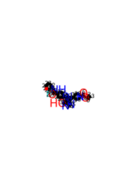 CC(C)(C)OC(=O)N1CCC(c2nn(-c3ccc(C(=O)Nc4ccccc4F)cc3)c3c(O)ncnc23)CC1